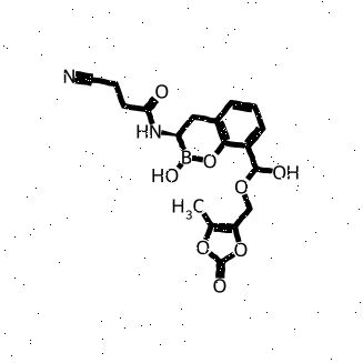 Cc1oc(=O)oc1COC(O)c1cccc2c1OB(O)[C@@H](NC(=O)CCC#N)C2